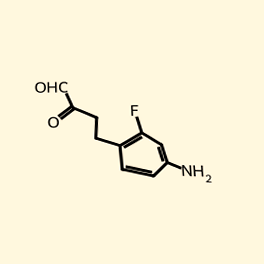 Nc1ccc(CCC(=O)C=O)c(F)c1